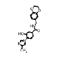 Cc1cn(-c2ccc(C(=O)NCc3ccc4c(c3)OCCO4)cc2O)cn1